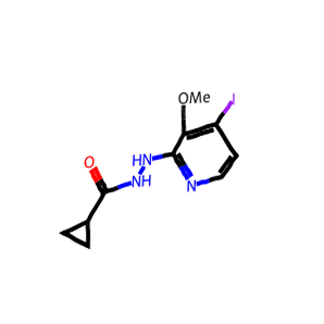 COc1c(I)ccnc1NNC(=O)C1CC1